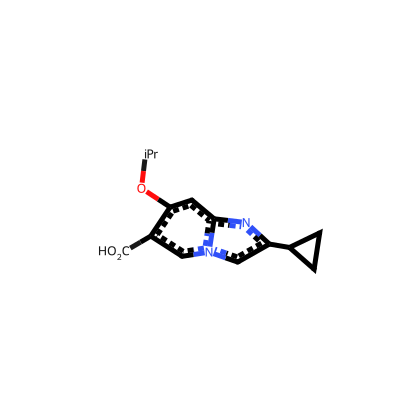 CC(C)Oc1cc2nc(C3CC3)cn2cc1C(=O)O